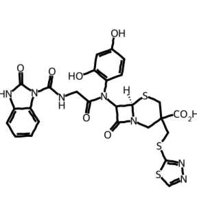 O=C(CNC(=O)n1c(=O)[nH]c2ccccc21)N(c1ccc(O)cc1O)C1C(=O)N2CC(CSc3nncs3)(C(=O)O)CS[C@H]12